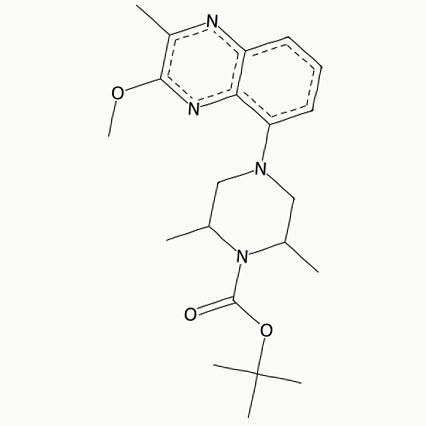 COc1nc2c(N3CC(C)N(C(=O)OC(C)(C)C)C(C)C3)cccc2nc1C